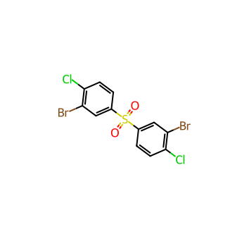 O=S(=O)(c1ccc(Cl)c(Br)c1)c1ccc(Cl)c(Br)c1